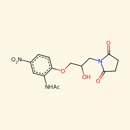 CC(=O)Nc1cc([N+](=O)[O-])ccc1OCC(O)CN1C(=O)CCC1=O